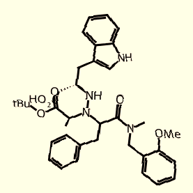 COc1ccccc1CN(C)C(=O)C(Cc1ccccc1)N(N[C@H](CC(=O)O)Cc1c[nH]c2ccccc12)C(C)C(=O)OC(C)(C)C